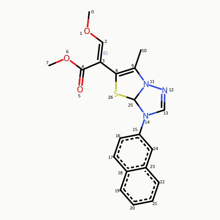 CO/C=C(\C(=O)OC)C1=C(C)N2N=CN(c3ccc4ccccc4c3)C2S1